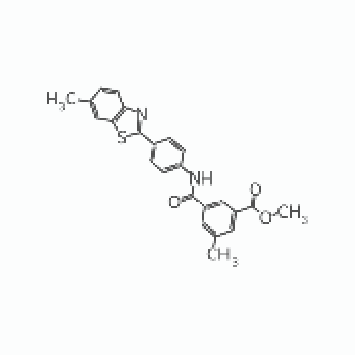 COC(=O)c1cc(C)cc(C(=O)Nc2ccc(-c3nc4ccc(C)cc4s3)cc2)c1